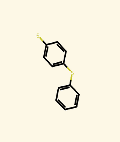 [S]c1ccc(Sc2ccccc2)cc1